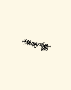 CC(COCCS(=O)(=O)N1CCN(c2ncc(C(F)(F)F)cn2)CC1)Oc1cn[nH]c(=O)c1C(F)(F)F